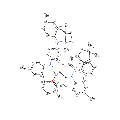 Cc1cc2c3c(c1)N(c1ccc(C(C)(C)C)cc1-c1ccccc1)c1cc4c(cc1B3c1cc(N3c5ccc(C(C)(C)C)cc5C5(C)CCC35C)ccc1N2c1ccc(C(C)(C)C)cc1-c1ccccc1)CC(C)(C)C4